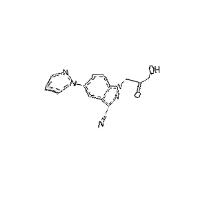 N#Cc1nn(CC(=O)O)c2ccc(-n3cccn3)cc12